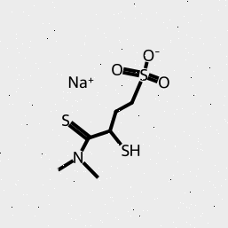 CN(C)C(=S)C(S)CCS(=O)(=O)[O-].[Na+]